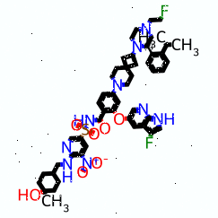 CC(C)c1ccccc1[C@@H]1CN(CCF)CCN1C1CC2(CCN(c3ccc(C(=O)NS(=O)(=O)c4cnc(NCC5CCC(C)(O)CC5)c([N+](=O)[O-])c4)c(Oc4cnc5[nH]cc(F)c5c4)c3)CC2)C1